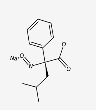 CC(C)C[C@](N=O)(C(=O)[O-])c1ccccc1.[Na+]